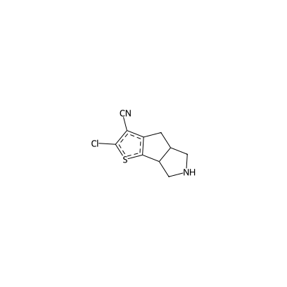 N#Cc1c(Cl)sc2c1CC1CNCC21